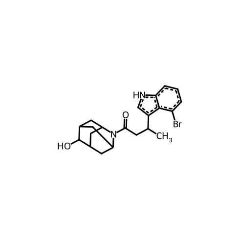 CC(CC(=O)N1C2CC3CC1CC(C2)C3O)c1c[nH]c2cccc(Br)c12